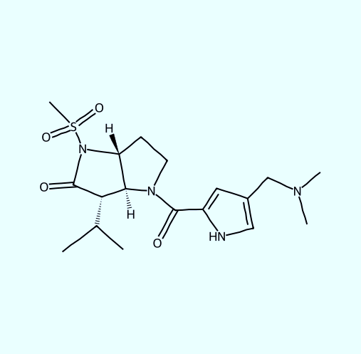 CC(C)[C@@H]1C(=O)N(S(C)(=O)=O)[C@@H]2CCN(C(=O)c3cc(CN(C)C)c[nH]3)[C@H]21